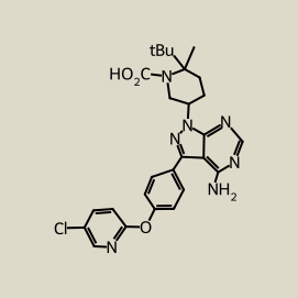 CC(C)(C)C1(C)CCC(n2nc(-c3ccc(Oc4ccc(Cl)cn4)cc3)c3c(N)ncnc32)CN1C(=O)O